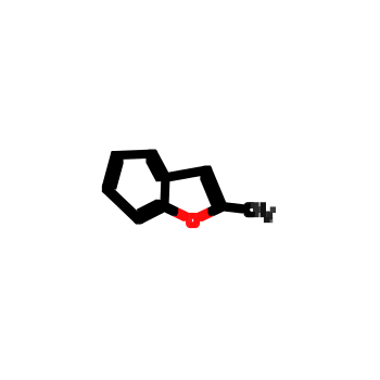 [CH2]c1cc2ccccc2o1